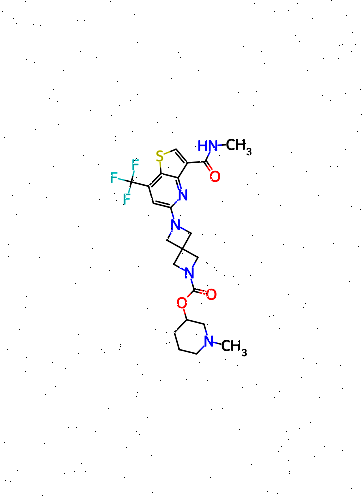 CNC(=O)c1csc2c(C(F)(F)F)cc(N3CC4(CN(C(=O)OC5CCCN(C)C5)C4)C3)nc12